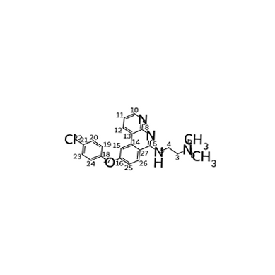 CN(C)CCNc1nc2ncccc2c2cc(Oc3ccc(Cl)cc3)ccc12